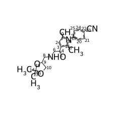 Cc1cc(C(=O)CNCC2COC(C)(C)O2)c(C)n1-c1ccc(C#N)cc1